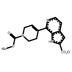 CCOC(=O)c1cc2ccnc(C3=CCN(C(=O)OC(C)(C)C)CC3)c2[nH]1